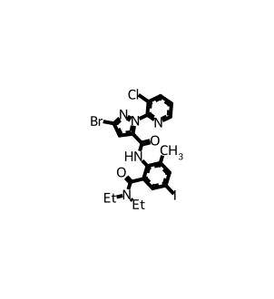 CCN(CC)C(=O)c1cc(I)cc(C)c1NC(=O)c1cc(Br)nn1-c1ncccc1Cl